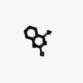 Clc1nc(Br)c2ccccc2n1